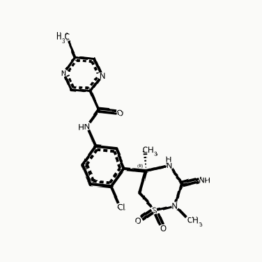 Cc1cnc(C(=O)Nc2ccc(Cl)c([C@]3(C)CS(=O)(=O)N(C)C(=N)N3)c2)cn1